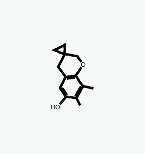 Cc1c(O)cc2c(c1C)OCC1(CC1)C2